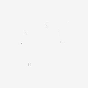 Cc1cc(N[SH](=O)=O)no1